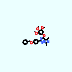 COc1cc(Oc2nc(-c3ccc(OCc4ccccc4)cc3)nn3c(C)nc(C)c23)cc(OC)c1OC